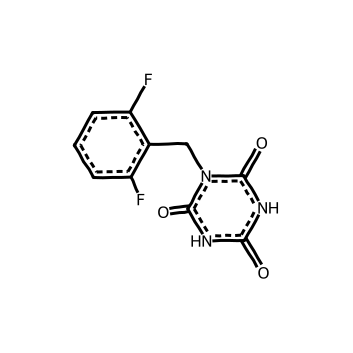 O=c1[nH]c(=O)n(Cc2c(F)cccc2F)c(=O)[nH]1